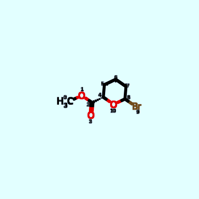 COC(=O)[C@@H]1[CH][CH][CH]C(Br)O1